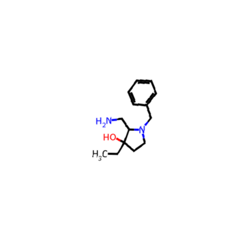 CCC1(O)CCN(Cc2ccccc2)C1CN